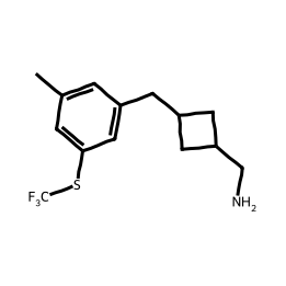 Cc1cc(CC2CC(CN)C2)cc(SC(F)(F)F)c1